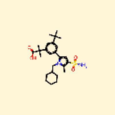 Cc1c(S(N)(=O)=O)cc(-c2cc(C(C)(C)C)cc(C(C)(C)C(=O)O)c2)n1CC1CCCCC1